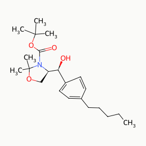 CCCCCc1ccc([C@H](O)[C@H]2COC(C)(C)N2C(=O)OC(C)(C)C)cc1